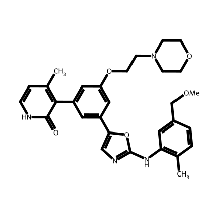 COCc1ccc(C)c(Nc2ncc(-c3cc(OCCN4CCOCC4)cc(-c4c(C)cc[nH]c4=O)c3)o2)c1